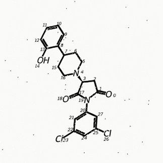 O=C1C[C@H](N2CCC(c3ccccc3O)CC2)C(=O)N1c1cc(Cl)cc(Cl)c1